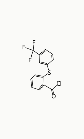 O=C(Cl)c1ccccc1Sc1cccc(C(F)(F)F)c1